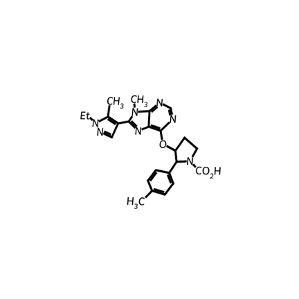 CCn1ncc(-c2nc3c(OC4CCN(C(=O)O)C4c4ccc(C)cc4)ncnc3n2C)c1C